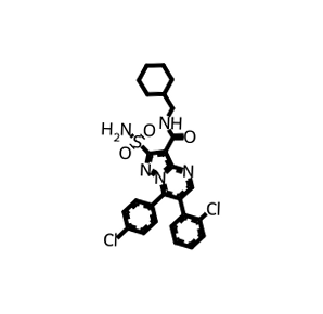 NS(=O)(=O)c1nn2c(-c3ccc(Cl)cc3)c(-c3ccccc3Cl)cnc2c1C(=O)NCC1CCCCC1